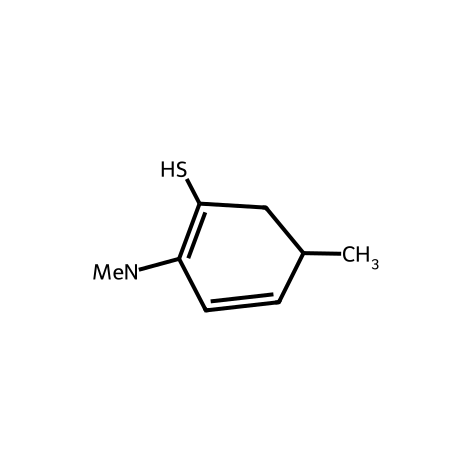 CNC1=C(S)CC(C)C=C1